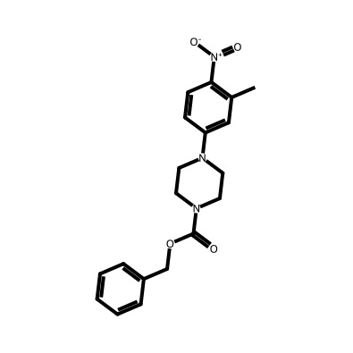 Cc1cc(N2CCN(C(=O)OCc3ccccc3)CC2)ccc1[N+](=O)[O-]